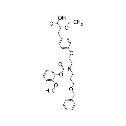 CCOC(Cc1ccc(OCCN(CCCOCc2ccccc2)C(=O)Oc2ccccc2OC)cc1)C(=O)O